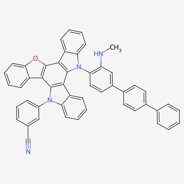 CNc1cc(-c2ccc(-c3ccccc3)cc2)ccc1-n1c2ccccc2c2c3oc4ccccc4c3c3c(c4ccccc4n3-c3cccc(C#N)c3)c21